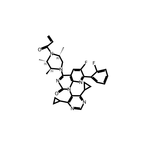 C=CC(=O)N1[C@H](C)CN(c2nc(=O)n(-c3c(C4CC4)ncnc3C3CC3)c3nc(-c4ccccc4F)c(F)cc23)[C@@H](C)[C@@H]1C